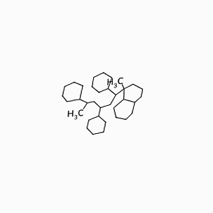 CC(CC(CC(C1CCCCC1)C1(C)CCCC2CCCCC21)C1CCCCC1)C1CCCCC1